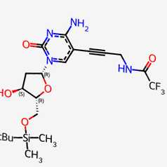 CC(C)(C)[Si](C)(C)OC[C@H]1O[C@@H](n2cc(C#CCNC(=O)C(F)(F)F)c(N)nc2=O)C[C@@H]1O